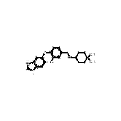 CC1(C)CCC(NCc2ccc(Oc3ccc4nc[nH]c4c3)c(F)c2)CC1